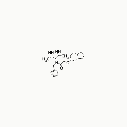 CC1NNC(C)C1N(Cc1cccs1)C(=O)COC1CCC2CCCC2C1